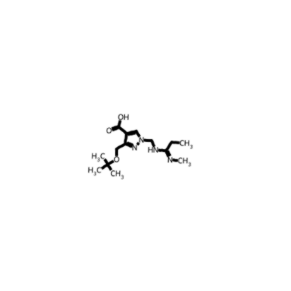 CC/C(=N\C)NCn1cc(C(=O)O)c(COC(C)(C)C)n1